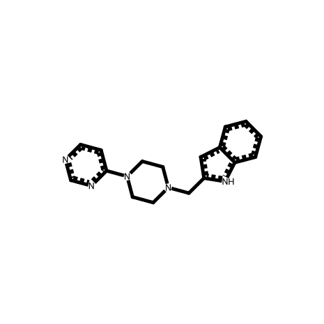 c1ccc2[nH]c(CN3CCN(c4ccncn4)CC3)cc2c1